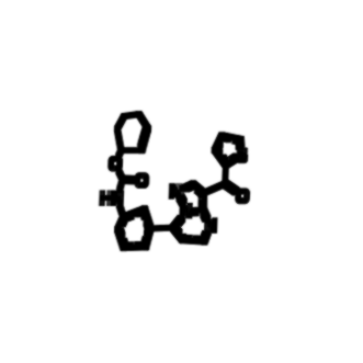 O=C(Nc1cccc(-c2ccnc3c(C(=O)c4cccs4)cnn23)c1)OC1C=CCCC1